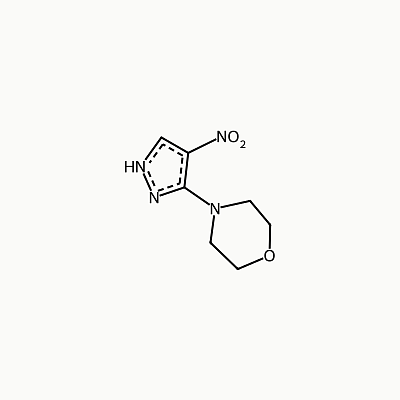 O=[N+]([O-])c1c[nH]nc1N1CCOCC1